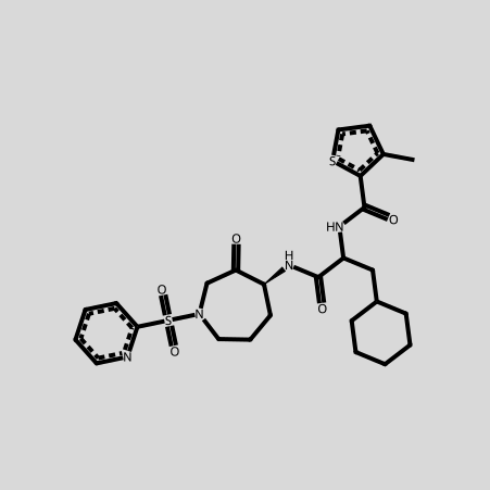 Cc1ccsc1C(=O)NC(CC1CCCCC1)C(=O)N[C@H]1CCCN(S(=O)(=O)c2ccccn2)CC1=O